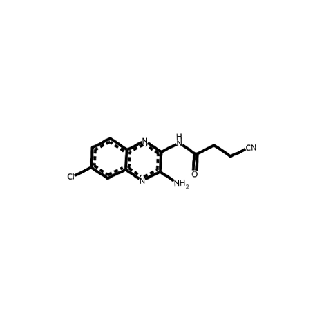 N#CCCC(=O)Nc1nc2ccc(Cl)cc2nc1N